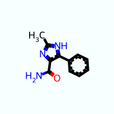 Cc1nc(C(N)=O)c(-c2ccccc2)[nH]1